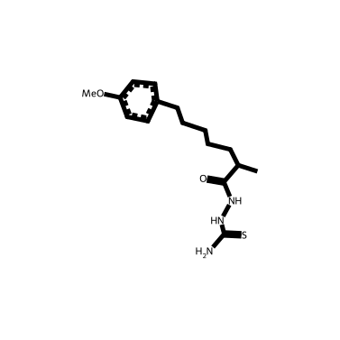 COc1ccc(CCCCCC(C)C(=O)NNC(N)=S)cc1